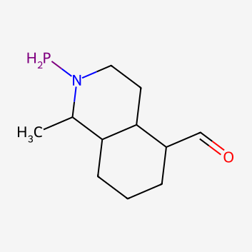 CC1C2CCCC(C=O)C2CCN1P